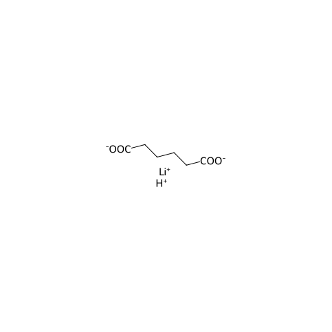 O=C([O-])CCCCC(=O)[O-].[H+].[Li+]